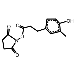 Cc1cc(CCC(=O)ON2C(=O)CCC2=O)ccc1O